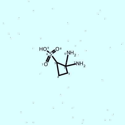 NC1(N)CCC1S(=O)(=O)O